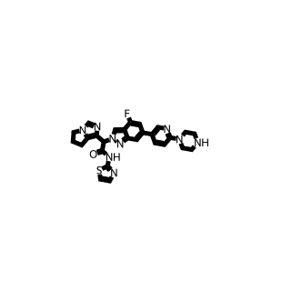 O=C(Nc1nccs1)C(c1ncn2c1CCC2)n1cc2c(F)cc(-c3ccc(N4CCNCC4)nc3)cc2n1